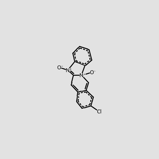 [O-][N+]1=C2C=c3ccc(Cl)cc3=C[N+]2([O-])c2ccccc21